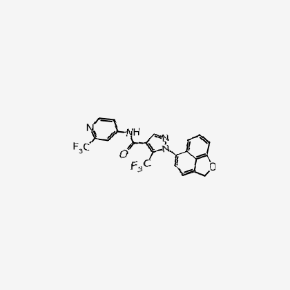 O=C(Nc1ccnc(C(F)(F)F)c1)c1cnn(-c2ccc3c4c(cccc24)OC3)c1C(F)(F)F